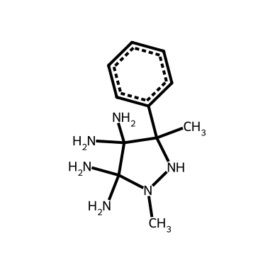 CN1NC(C)(c2ccccc2)C(N)(N)C1(N)N